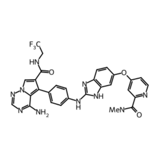 CNC(=O)c1cc(Oc2ccc3nc(Nc4ccc(-c5c(C(=O)NCC(F)(F)F)cn6ncnc(N)c56)cc4)[nH]c3c2)ccn1